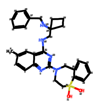 Cc1ccc2nc(N3CCS(O)(O)c4ccccc4C3)nc(NCC3(NCc4ccccc4)CCC3)c2c1